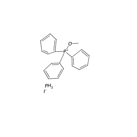 CO[P+](c1ccccc1)(c1ccccc1)c1ccccc1.P.[I-]